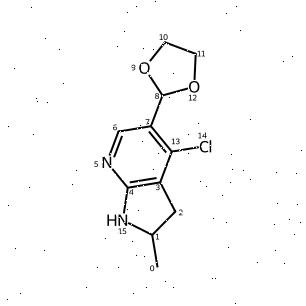 CC1Cc2c(ncc(C3OCCO3)c2Cl)N1